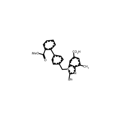 CCCc1nc2c(C)cc(C(=O)O)cc2n1Cc1ccc(-c2ccccc2C(=O)OC)cc1